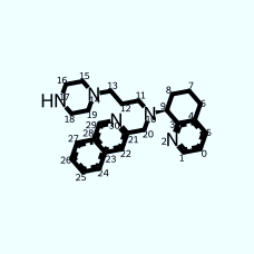 c1cnc2c(c1)CCC[C@@H]2N(CCCN1CCNCC1)Cc1cc2ccccc2cn1